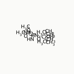 CCOc1cc(CNCC(=O)c2cc(C(C)(C)C)c(O)c(C(C)(C)C)c2)c(C=N)cc1C(=O)NC